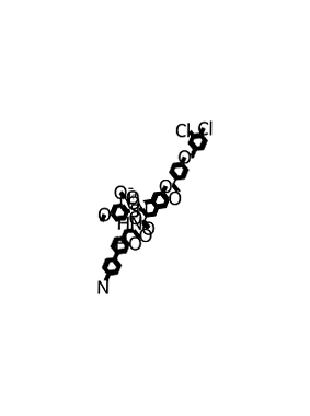 COc1ccc(S(=O)(=O)N2Cc3cc4c(cc3C[C@H]2C(=O)NC(Cc2ccc(-c3ccc(C#N)cc3)cc2)C(=O)O)OC[C@H](c2ccc(OCc3ccc(Cl)c(Cl)c3)cc2)O4)c([N+](=O)[O-])c1